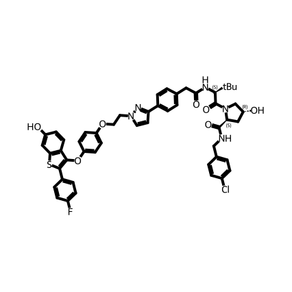 CC(C)(C)[C@H](NC(=O)Cc1ccc(-c2ccn(CCOc3ccc(Oc4c(-c5ccc(F)cc5)sc5cc(O)ccc45)cc3)n2)cc1)C(=O)N1C[C@H](O)C[C@H]1C(=O)NCc1ccc(Cl)cc1